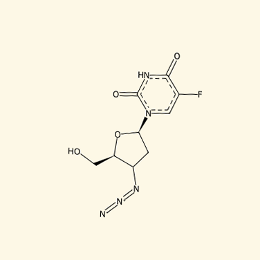 [N-]=[N+]=NC1C[C@H](n2cc(F)c(=O)[nH]c2=O)O[C@@H]1CO